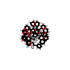 O=C(c1ccccc1)C(OOC1(OC(C(=O)c2ccccc2)c2ccccc2)C(OC(C(=O)c2ccccc2)c2ccccc2)=C(OC(C(=O)c2ccccc2)c2ccccc2)C(OC(C(=O)c2ccccc2)c2ccccc2)=C(OC(C(=O)c2ccccc2)c2ccccc2)C1(OC(C(=O)c1ccccc1)c1ccccc1)OC(C(=O)c1ccccc1)c1ccccc1)c1ccccc1